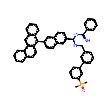 CP(C)(=O)c1cccc(-c2cccc(CNC(NC(=N)c3ccccc3)c3ccc4cc(-c5c6ccccc6cc6c5ccc5ccccc56)ccc4c3)c2)c1